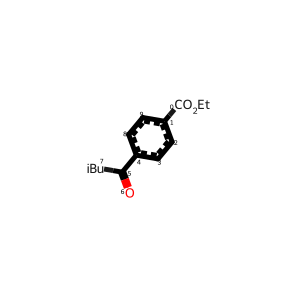 CCOC(=O)c1ccc(C(=O)C(C)CC)cc1